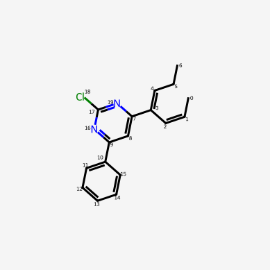 C/C=C\C(=C/CC)c1cc(-c2ccccc2)nc(Cl)n1